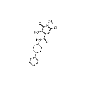 Cn1c(Cl)cc(C(=O)NC2CCC(c3ccccc3)CC2)c(O)c1=O